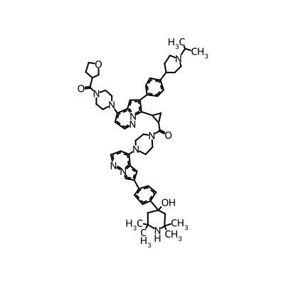 CC(C)N1CCC(c2ccc(-c3cc4c(N5CCN(C(=O)C6CCOC6)CC5)ccnn4c3C3CC3C(=O)N3CCN(c4ccnn5cc(-c6ccc(C7(O)CC(C)(C)NC(C)(C)C7)cc6)cc45)CC3)cc2)CC1